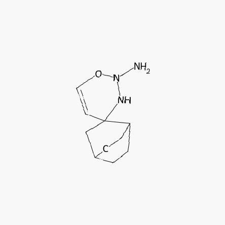 NN1NC2(C=CO1)CC1CCC2CC1